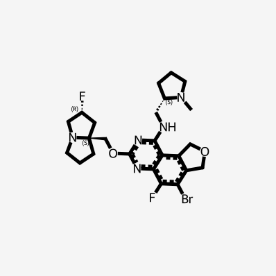 CN1CCC[C@H]1CNc1nc(OC[C@@]23CCCN2C[C@H](F)C3)nc2c(F)c(Br)c3c(c12)COC3